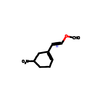 O=CO/C=C/C1=CCCC([N+](=O)[O-])C1